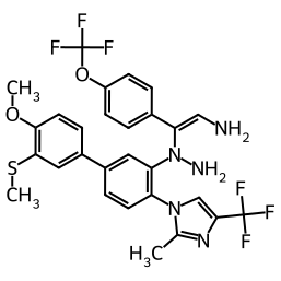 COc1ccc(-c2ccc(-n3cc(C(F)(F)F)nc3C)c(N(N)/C(=C\N)c3ccc(OC(F)(F)F)cc3)c2)cc1SC